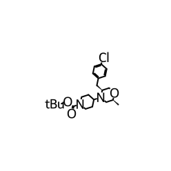 C[C@H]1CN(C2CCN(C(=O)OC(C)(C)C)CC2)[C@@H](Cc2ccc(Cl)cc2)CO1